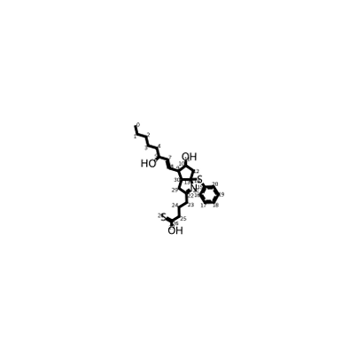 CCCCCC(O)C=CC1C(O)CC2(Sc3ccccc3)N=C(CCCC(O)=S)CC12